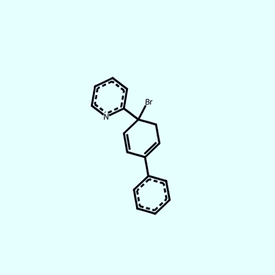 BrC1(c2ccccn2)C=CC(c2ccccc2)=CC1